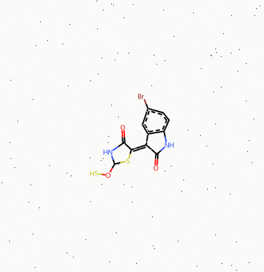 O=C1NC(OS)SC1=C1C(=O)Nc2ccc(Br)cc21